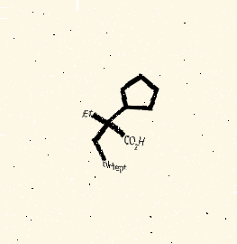 CCCCCCCCC(CC)(C(=O)O)C1CCCC1